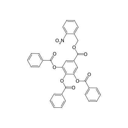 O=C(OCc1ccccc1[N+](=O)[O-])c1cc(OC(=O)c2ccccc2)c(OC(=O)c2ccccc2)c(OC(=O)c2ccccc2)c1